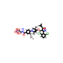 Cc1cc(C(=O)NCCP(=O)(O)O)ccc1N1C[C@@H]2C[C@H]1C[C@H]2OCc1c(-c2c(Cl)cccc2Cl)noc1C1CC1